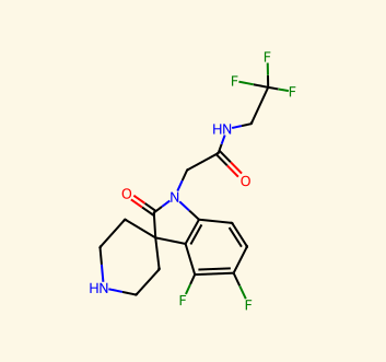 O=C(CN1C(=O)C2(CCNCC2)c2c1ccc(F)c2F)NCC(F)(F)F